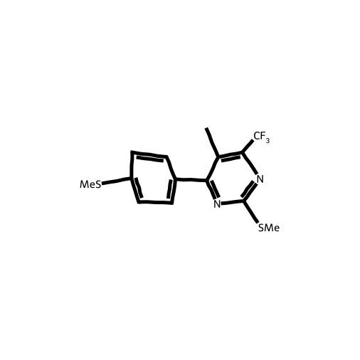 CSc1ccc(-c2nc(SC)nc(C(F)(F)F)c2C)cc1